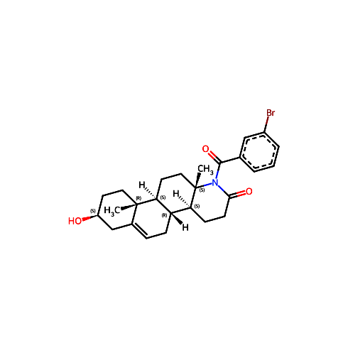 C[C@]12CC[C@H](O)CC1=CC[C@@H]1[C@@H]2CC[C@@]2(C)[C@H]1CCC(=O)N2C(=O)c1cccc(Br)c1